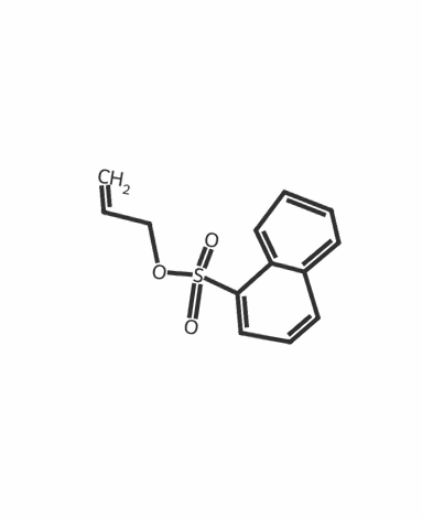 C=CCOS(=O)(=O)c1cccc2ccccc12